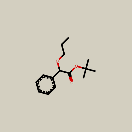 CCCOC(C(=O)OC(C)(C)C)c1ccccc1